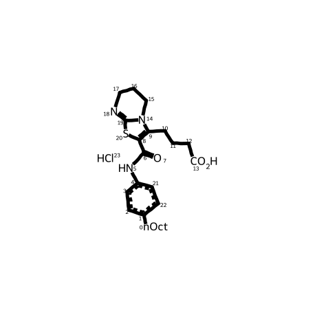 CCCCCCCCc1ccc(NC(=O)C2=C(CCCC(=O)O)N3CCCN=C3S2)cc1.Cl